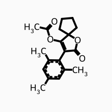 CC(=O)OC1=C(c2c(C)cc(C)cc2C)C(=O)OC12CCCC2